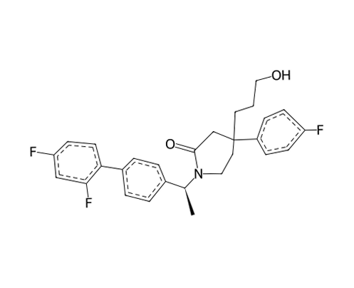 C[C@@H](c1ccc(-c2ccc(F)cc2F)cc1)N1CCC(CCCO)(c2ccc(F)cc2)CC1=O